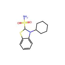 NS(=O)(=O)C1Sc2ccccc2N1C1CCCCC1